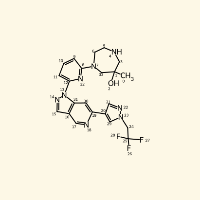 CC1(O)CNCCN(c2cccc(-n3ncc4cnc(-c5cnn(CC(F)(F)F)c5)cc43)n2)C1